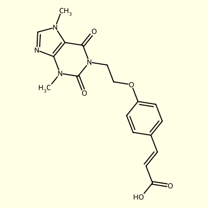 Cn1cnc2c1c(=O)n(CCOc1ccc(C=CC(=O)O)cc1)c(=O)n2C